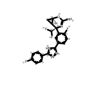 NC1=N[C@@](c2cc(-c3nnc(-c4ccc(F)cc4)[nH]3)ccc2F)(C(F)F)C2C[C@H]2O1